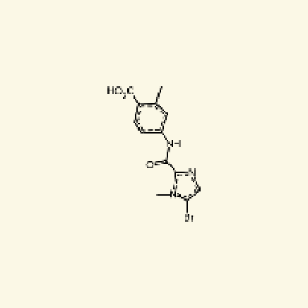 Cc1cc(NC(=O)c2ncc(Br)n2C)ccc1C(=O)O